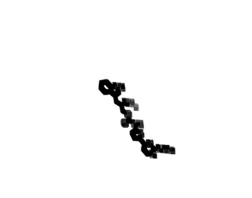 CNc1nccc(-c2ccc(NC(=O)OC[C@H](N)Cc3c[nH]c4ccccc34)s2)n1